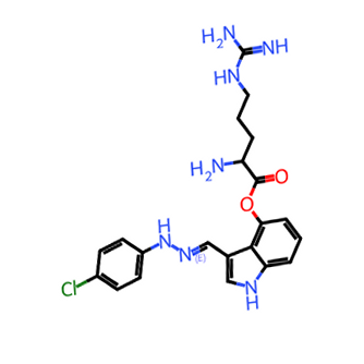 N=C(N)NCCCC(N)C(=O)Oc1cccc2[nH]cc(/C=N/Nc3ccc(Cl)cc3)c12